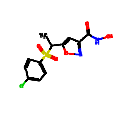 CC(c1cc(C(=O)NO)no1)S(=O)(=O)c1ccc(Cl)cc1